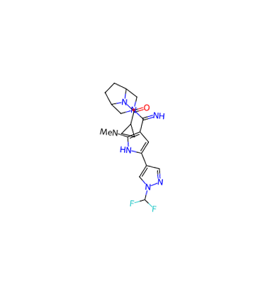 CNc1[nH]c(-c2cnn(C(F)F)c2)cc1C(=N)N1CC2CCC(C1)N2C(=O)C1CC1